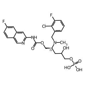 CN(Cc1cccc(F)c1Cl)[C@H](COC(=O)Nc1cc2cc(F)ccc2cn1)CC(O)COP(=O)(O)O